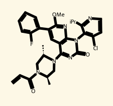 C=CC(=O)N1C[C@H](C)N(c2nc(=O)n(-c3c(Cl)ccnc3C(C)C)c3nc(OC)c(-c4ccccc4F)cc23)C[C@H]1C